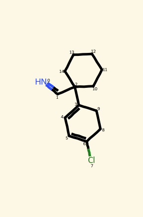 N=CC1(C2=CC=C(Cl)CC2)CCCCC1